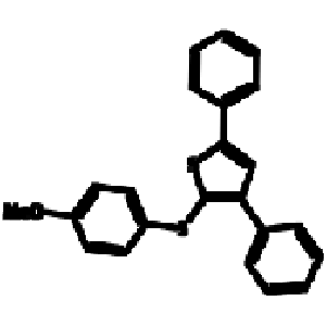 COc1ccc(Sc2sc(-c3ccccc3)cc2-c2ccccc2)cc1